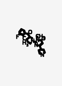 Cc1c(F)cccc1C(=O)C1CCCN(c2nc(-c3ccncc3)cc(=O)n2C)C1